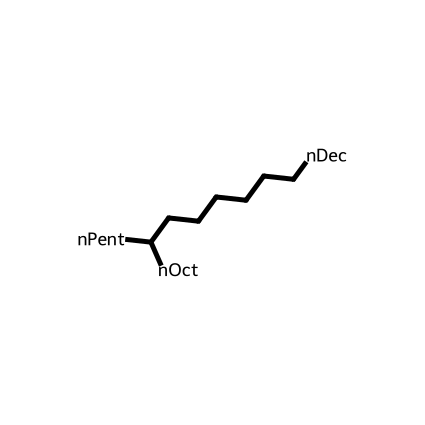 [CH2]CCCCC(CCCCCCCC)CCCCCCCCCCCCCCCC